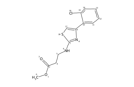 COC(=O)CCNc1nc(-c2ccccc2Cl)cs1